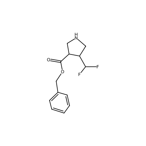 O=C(OCc1ccccc1)C1CNCC1C(F)F